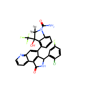 [2H]C1([2H])N(C(N)=O)c2cccc(-c3cc4ncccc4c4c3C(c3cc(F)ccc3Cl)NC4=O)c2C1(O)C(F)(F)F